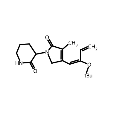 C=C/C(=C\C1=C(C)C(=O)N(C2CCCNC2=O)C1)OC(C)(C)C